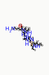 C=CC(CSCC(N=C)C(=C)NC(=C)NCC(=C)NC(CC)C(=C)NC(C=O)CCCCN)NC(=C)C(C)CCC